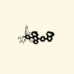 Bc1c(B)c(C)c(-c2c3ccccc3c(-c3ccc(-c4cccc5ccccc45)cc3)c3ccccc23)c(O)c1B